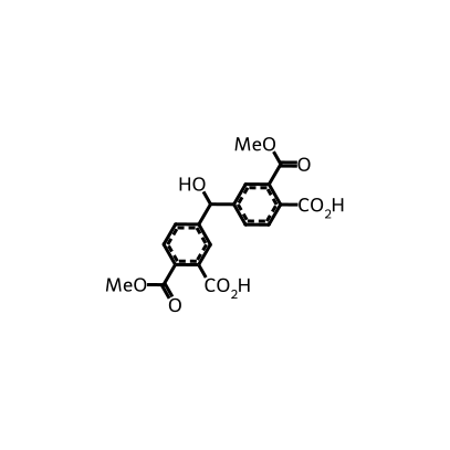 COC(=O)c1ccc(C(O)c2ccc(C(=O)O)c(C(=O)OC)c2)cc1C(=O)O